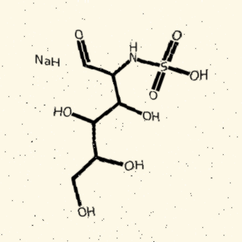 O=CC(NS(=O)(=O)O)C(O)C(O)C(O)CO.[NaH]